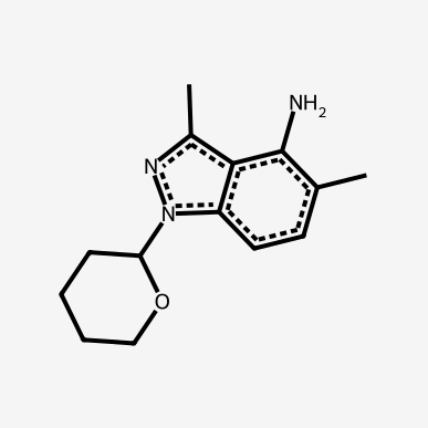 Cc1ccc2c(c(C)nn2C2CCCCO2)c1N